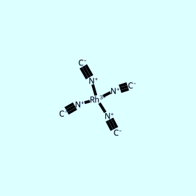 [C-]#[N+][Rh-3]([N+]#[C-])([N+]#[C-])[N+]#[C-]